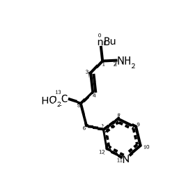 CCCCC(N)C=CC(Cc1cccnc1)C(=O)O